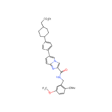 CCOC(=O)CC1CCC(c2ccc(-c3ccc4nc(C(=O)NCc5cc(OC(F)(F)F)ccc5OC)cn4c3)cc2)CC1